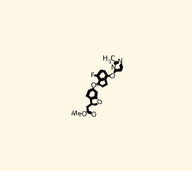 COC(=O)CC1COc2cc(O[C@@H]3CCc4c(Oc5ccnc(C)n5)ccc(F)c43)ccc21